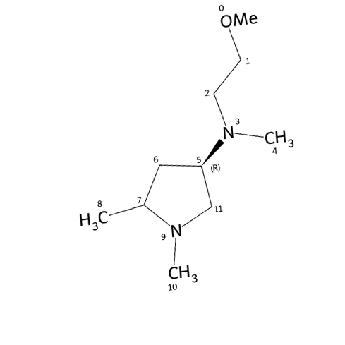 COCCN(C)[C@@H]1CC(C)N(C)C1